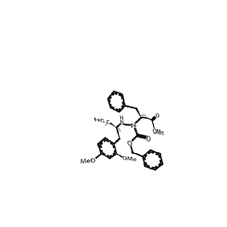 COC(=O)[C@H](Cc1ccccc1)N(N[C@@H](Cc1ccc(OC)cc1OC)C(=O)O)C(=O)OCc1ccccc1